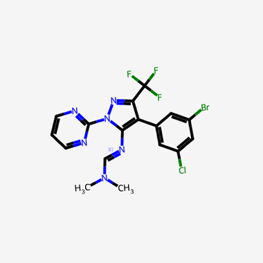 CN(C)/C=N/c1c(-c2cc(Cl)cc(Br)c2)c(C(F)(F)F)nn1-c1ncccn1